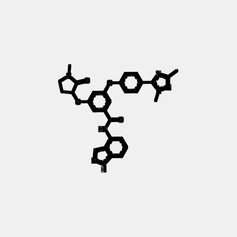 Cc1nc(-c2ccc(Oc3cc(OC4CCN(C)C4=O)cc(C(=O)Nc4cccc5[nH]ncc45)c3)cc2)n(C)n1